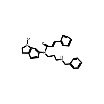 CC(=O)N1CCc2ccc(N(CCCNCc3ccccc3)C(=O)C=Cc3ccccc3)cc21